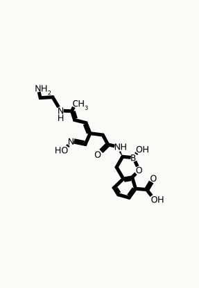 C\C(=C/C=C(\C=N\O)CC(=O)N[C@H]1Cc2cccc(C(=O)O)c2OB1O)NCCN